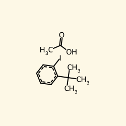 CC(=O)O.CC(C)(C)c1ccccc1I